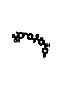 C[C@H]1CN(Cc2ccc(N(C)C(=O)c3ccc(Nc4ccc(F)cc4)cn3)cc2)CCN1C(=O)O